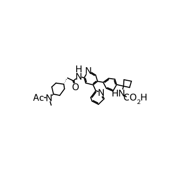 CC(=O)N(C)[C@H]1CC[C@H](CC(=O)Nc2cc(-c3ccccn3)c(-c3ccc(C4(NC(=O)O)CCC4)cc3)cn2)CC1